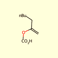 C=C(CCCCC)OC(=O)O